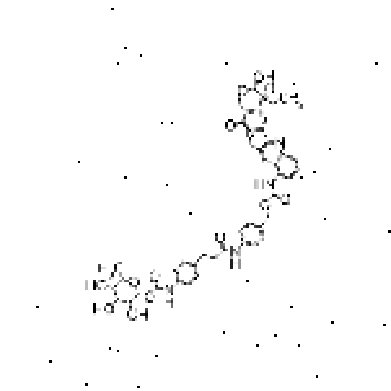 CC[C@@]1(O)C(=O)OCc2c1cc1n(c2=O)Cc2cc3c(NC(=O)OCc4ccc(NC(=O)CCc5ccc(NC(=O)OC6OC(C)C(O)C(O)C6O)cc5)cc4)cccc3nc2-1